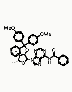 [CH2][C@H]1O[C@@H](n2cnc3c(NC(=O)c4ccccc4)ncnc32)[C@H](OC(c2ccccc2)(c2ccc(OC)cc2)c2ccc(OC)cc2)[C@@H]1F